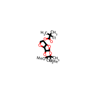 CCC(C)(C)C(=O)OC1COC2C1OC1OC(C)(OC)C(C)(OC)OC12